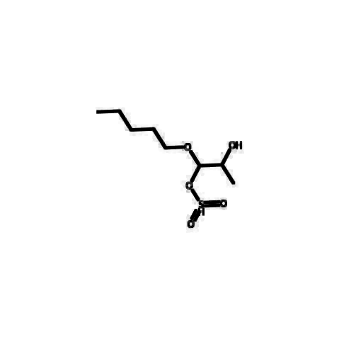 CCCCCOC(O[SH](=O)=O)C(C)O